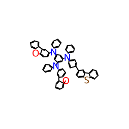 c1ccc(N(c2ccc(-c3ccc4sc5ccccc5c4c3)cc2)c2cc(N(c3ccccc3)c3ccc4oc5ccccc5c4c3)cc(N(c3ccccc3)c3ccc4oc5ccccc5c4c3)c2)cc1